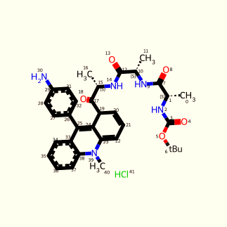 C[C@H](NC(=O)OC(C)(C)C)C(=O)N[C@@H](C)C(=O)N[C@@H](C)C(=O)C1C=CC=C2C1=C(c1ccc(N)cc1)c1ccccc1N2C.Cl